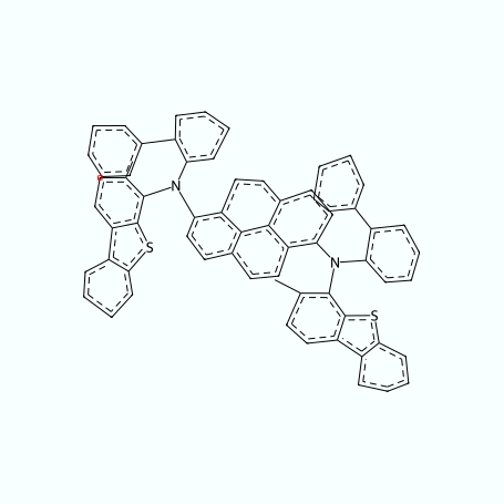 Cc1ccc2c(sc3ccccc32)c1N(c1ccccc1-c1ccccc1)c1ccc2ccc3c(N(c4ccccc4-c4ccccc4)c4c(C)ccc5c4sc4ccccc45)ccc4ccc1c2c43